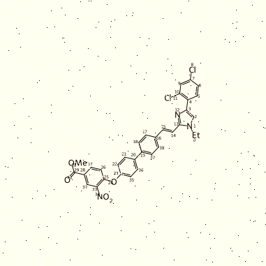 CCn1cc(-c2ccc(Cl)cc2Cl)nc1C=Cc1ccc(-c2ccc(Oc3ccc(C(=O)OC)cc3[N+](=O)[O-])cc2)cc1